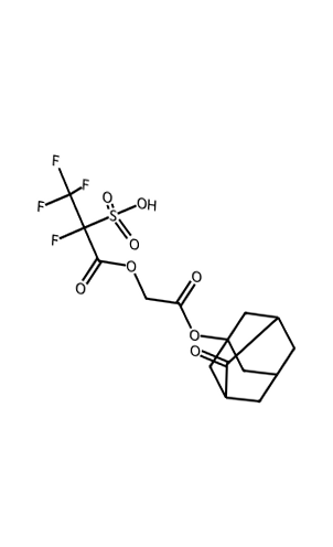 O=C(COC(=O)C(F)(C(F)(F)F)S(=O)(=O)O)OC12CC3CC(C1)C(=O)C(C3)C2